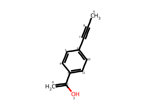 C=C(O)c1ccc(C#CC)cc1